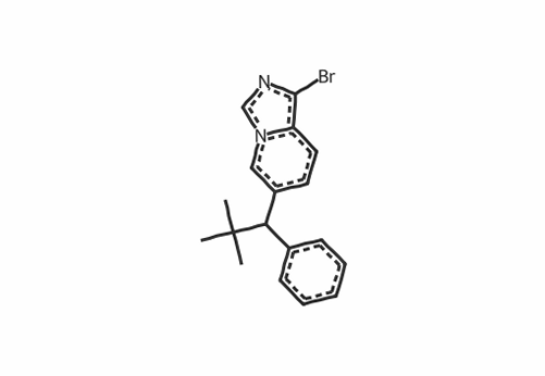 CC(C)(C)C(c1ccccc1)c1ccc2c(Br)ncn2c1